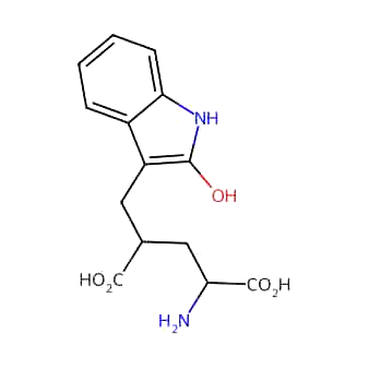 NC(CC(Cc1c(O)[nH]c2ccccc12)C(=O)O)C(=O)O